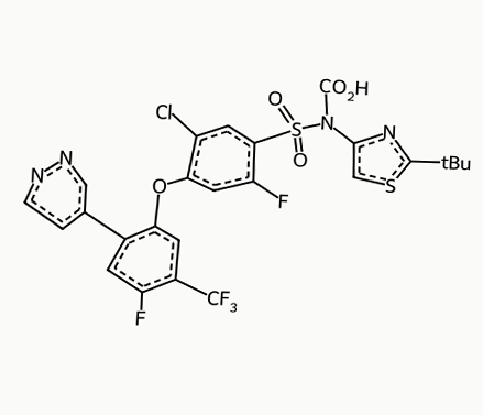 CC(C)(C)c1nc(N(C(=O)O)S(=O)(=O)c2cc(Cl)c(Oc3cc(C(F)(F)F)c(F)cc3-c3ccnnc3)cc2F)cs1